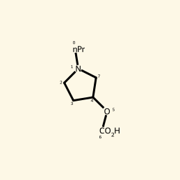 [CH2]CCN1CCC(OC(=O)O)C1